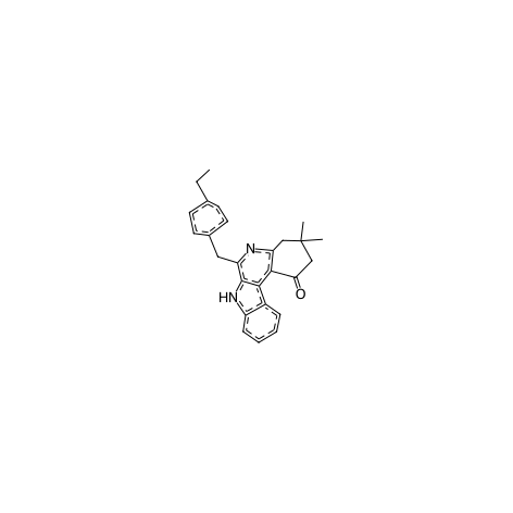 CCc1ccc(Cc2nc3c(c4c2[nH]c2ccccc24)C(=O)CC(C)(C)C3)cc1